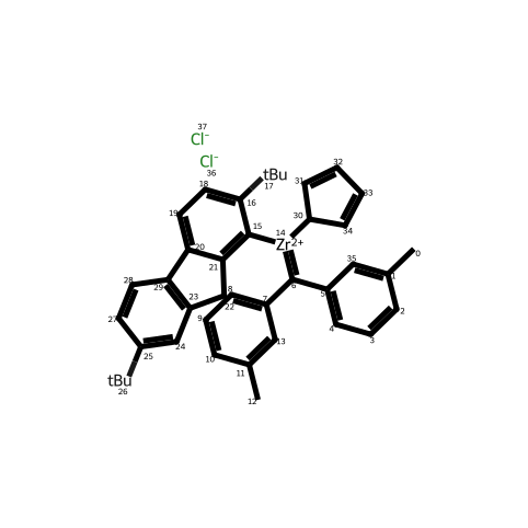 Cc1cccc([C](c2cccc(C)c2)=[Zr+2]([c]2c(C(C)(C)C)ccc3c2Cc2cc(C(C)(C)C)ccc2-3)[CH]2C=CC=C2)c1.[Cl-].[Cl-]